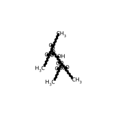 CCCCCCCCC(=O)OCC(COC(=O)CCCCCCCC)OC(=O)CCC(O)CCC(=O)OC(COC(=O)CCCCCCCC)COC(=O)CCCCCCCC